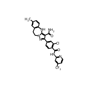 Cc1ccc2c(c1)CCn1nc(-c3ccc(C(=O)Nc4cc(C(F)(F)F)ccn4)c(Cl)c3)c(C(N)=O)c1N2